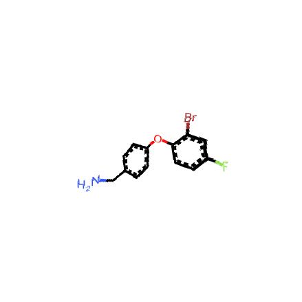 NCc1ccc(Oc2ccc(F)cc2Br)cc1